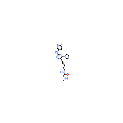 CNCC(=O)NCCCC#Cc1cnc(Nc2ccc(F)nc2)nc1N1CCCC1